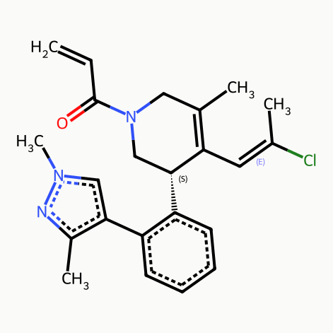 C=CC(=O)N1CC(C)=C(/C=C(\C)Cl)[C@H](c2ccccc2-c2cn(C)nc2C)C1